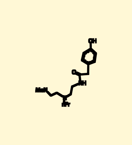 CCCN(CCNC)CCNC(=O)Cc1ccc(O)cc1